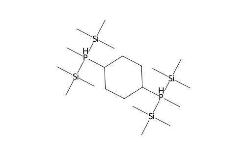 C[Si](C)(C)[PH](C)(C1CCC([PH](C)([Si](C)(C)C)[Si](C)(C)C)CC1)[Si](C)(C)C